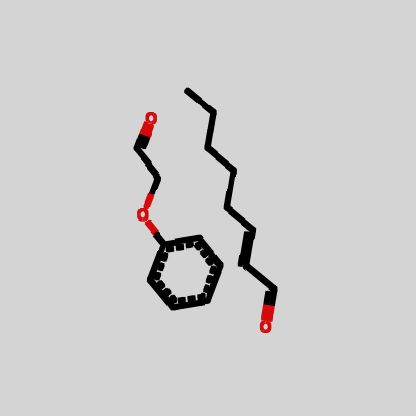 CCCCC/C=C/C=O.O=CCOc1ccccc1